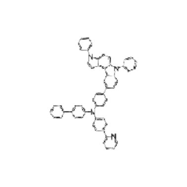 c1ccc(-c2ccc(N(c3ccc(-c4ccc5c(c4)c4c6ccn(-c7ccccc7)c6ccc4n5-c4ccccc4)cc3)c3ccc(-c4ccccn4)cc3)cc2)cc1